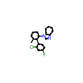 Cc1cccc(-n2cnc3ccccc32)c1-c1ccc(F)cc1Cl